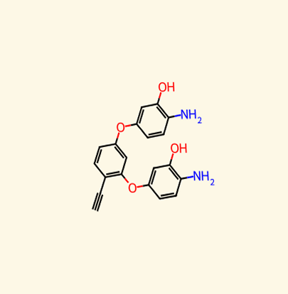 C#Cc1ccc(Oc2ccc(N)c(O)c2)cc1Oc1ccc(N)c(O)c1